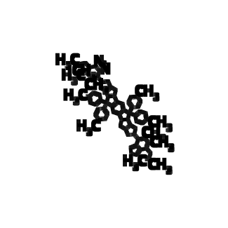 Cc1ccc(C2(c3ccc(C)cc3)C3=C(CC4=C3CC(C3C5=NCN=C5C(CC(C)C)C(C)C3C)=C4)c3cc4c(cc32)C2CC3CC(c5c(C)c(C)c(CC(C)C)c6c5=CCC=6)CC3C2C4(c2ccc(C)cc2)c2ccc(C)cc2)cc1